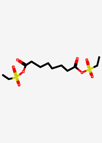 CCS(=O)(=O)OC(=O)CCCCCCC(=O)OS(=O)(=O)CC